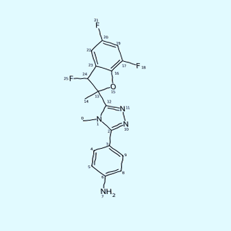 Cn1c(-c2ccc(N)cc2)nnc1C1(C)Oc2c(F)cc(F)cc2C1F